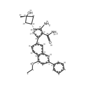 CCOc1cc(-c2ccccc2)nc2cc(-c3nn([C@H]4C[C@@](C)(O)C4)c(N)c3C(N)=O)ccc12